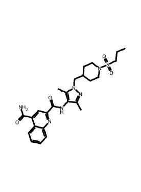 CCCS(=O)(=O)N1CCC(Cn2nc(C)c(NC(=O)c3cc(C(N)=O)c4ccccc4n3)c2C)CC1